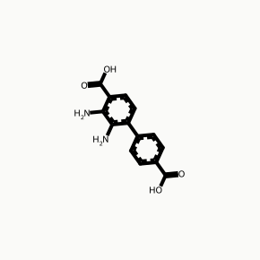 Nc1c(C(=O)O)ccc(-c2ccc(C(=O)O)cc2)c1N